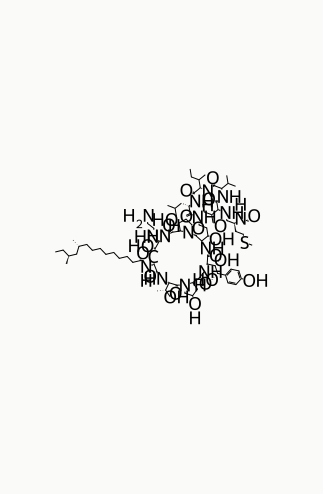 CCC(C)[C@H](NC(=O)[C@H](CCSC)NC=O)C(=O)N[C@H](C(=O)N[C@H](C(=O)N[C@@H](CC(C)C)C(=O)NCC[C@@H](O)[C@@H]1NC(=O)[C@H]([C@H](O)[C@@H](O)c2ccc(O)cc2)NC(=O)[C@@H]2C[C@@H](O)CN2C(=O)[C@H]([C@@H](C)O)NC(=O)[C@@H](NC(=O)CCCCCCCC[C@@H](C)C[C@@H](C)CC)C[C@@H](O)[C@@H](NCCN)NC(=O)[C@@H]2[C@@H](O)CCN2C1=O)C(C)CC)C(C)C